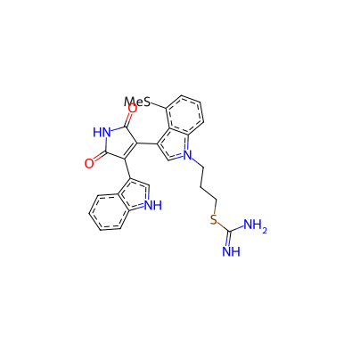 CSc1cccc2c1c(C1=C(c3c[nH]c4ccccc34)C(=O)NC1=O)cn2CCCSC(=N)N